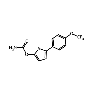 NC(=O)Oc1ccc(-c2ccc(OC(F)(F)F)cc2)s1